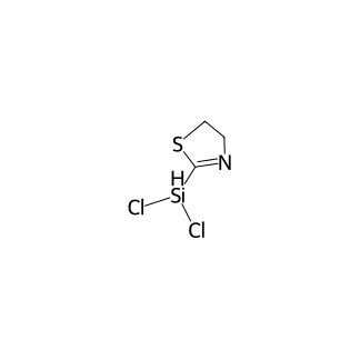 Cl[SiH](Cl)C1=NCCS1